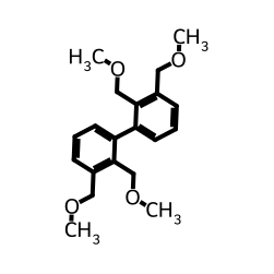 COCc1cccc(-c2cccc(COC)c2COC)c1COC